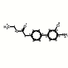 CCOC(=O)Cc1ccc(-c2ccc(N)c(Cl)c2)cc1